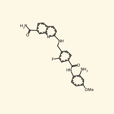 COc1ccc(NC(=O)c2ccc(CNc3ccc4ccc(C(N)=O)cc4n3)c(F)c2)c(N)c1